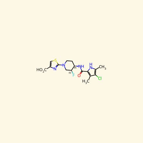 Cc1[nH]c(C(=O)N[C@@H]2CCN(c3nc(C(=O)O)cs3)C[C@@H]2F)c(C)c1Cl